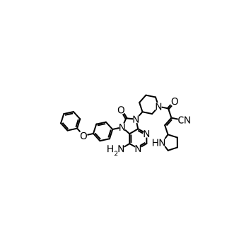 N#CC(=CC1CCCN1)C(=O)N1CCCC(n2c(=O)n(-c3ccc(Oc4ccccc4)cc3)c3c(N)ncnc32)C1